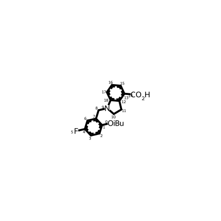 CC(C)COc1ccc(F)cc1CN1CCc2c(C(=O)O)cccc21